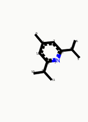 Cc1cc(C(C)C)nc(C(C)C)c1